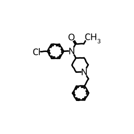 CCC(=O)N(c1ccc(Cl)cc1)C1CCN(Cc2ccccc2)CC1